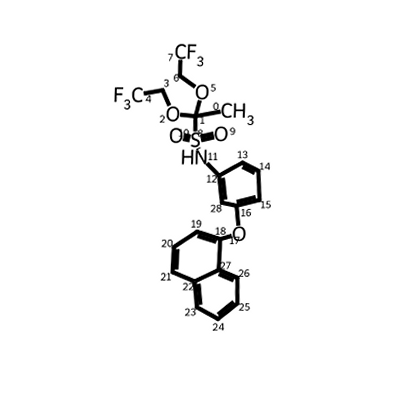 CC(OCC(F)(F)F)(OCC(F)(F)F)S(=O)(=O)Nc1cccc(Oc2cccc3ccccc23)c1